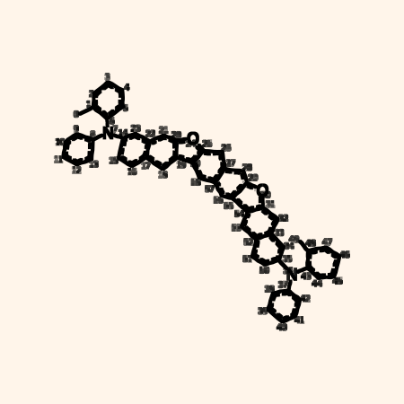 Cc1ccccc1N(c1ccccc1)c1ccc2cc3c(cc2c1)oc1cc2cc4oc5cc6cc(N(c7ccccc7)c7ccccc7C)ccc6cc5c4cc2cc13